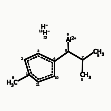 Cc1ccc([CH]([Al+2])C(C)C)cc1.[H-].[H-]